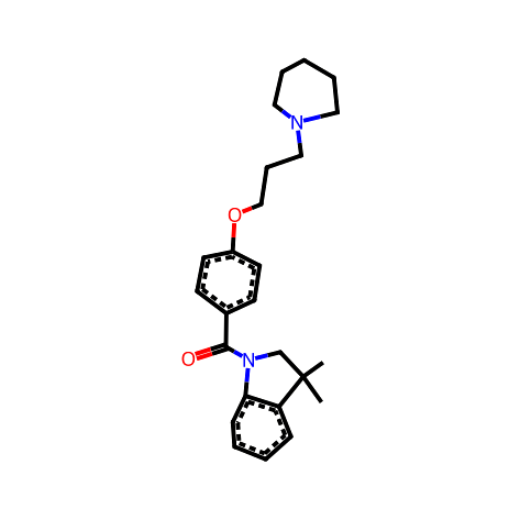 CC1(C)CN(C(=O)c2ccc(OCCCN3CCCCC3)cc2)c2ccccc21